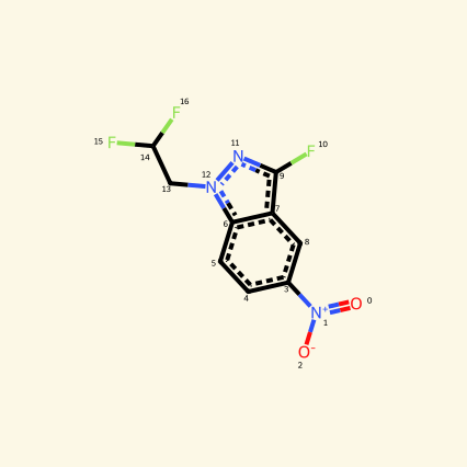 O=[N+]([O-])c1ccc2c(c1)c(F)nn2CC(F)F